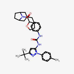 Cc1ccc(-n2nc(C(C)(C)C)cc2NC(=O)Nc2ccc(CC3CC4CCC(C3)N4C(=O)C3CCCO3)cc2)cc1